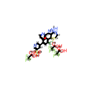 Cn1nc(-c2ccccn2)c2c1NCCSC2c1ccc(-c2cncc(S(C)(=O)=O)c2)cc1Cl.O=C(O)C(F)(F)F.O=C(O)C(F)(F)F.O=C(O)C(F)(F)F